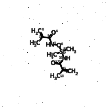 C=C(C)C(=O)NO[Si](C)(C)NC(=O)C(=C)C